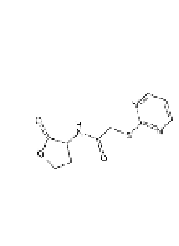 O=C(CSc1ncccn1)NC1CCOC1=O